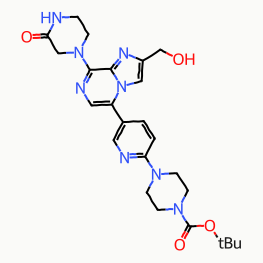 CC(C)(C)OC(=O)N1CCN(c2ccc(-c3cnc(N4CCNC(=O)C4)c4nc(CO)cn34)cn2)CC1